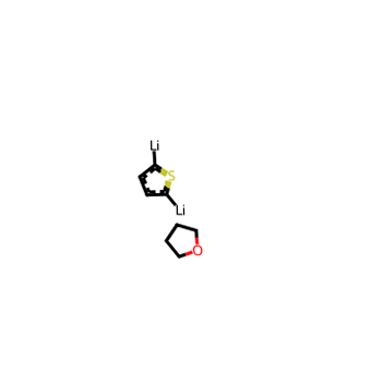 C1CCOC1.[Li][c]1cc[c]([Li])s1